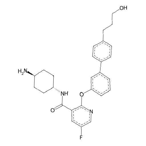 N[C@H]1CC[C@H](NC(=O)c2cc(F)cnc2Oc2cccc(-c3ccc(CCCO)cc3)c2)CC1